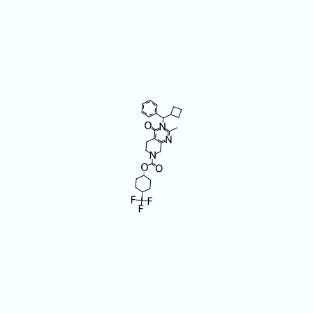 Cc1nc2c(c(=O)n1C(c1ccccc1)C1CCC1)CCN(C(=O)O[C@H]1CC[C@H](C(F)(F)F)CC1)C2